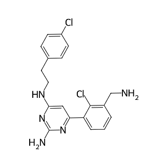 NCc1cccc(-c2cc(NCCc3ccc(Cl)cc3)nc(N)n2)c1Cl